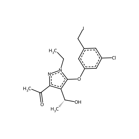 CCn1nc(C(C)=O)c([C@@H](C)O)c1Oc1cc(Cl)cc(CI)c1